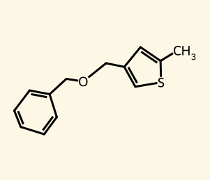 Cc1cc(COCc2ccccc2)cs1